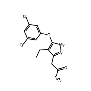 CCc1c(CC(N)=O)n[nH]c1Oc1cc(Cl)cc(Cl)c1